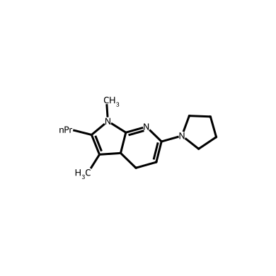 CCCC1=C(C)C2CC=C(N3CCCC3)N=C2N1C